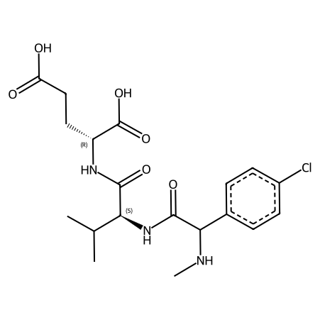 CNC(C(=O)N[C@H](C(=O)N[C@H](CCC(=O)O)C(=O)O)C(C)C)c1ccc(Cl)cc1